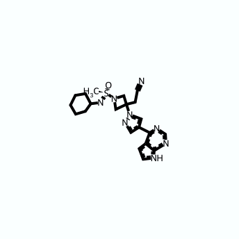 C[S@@](=O)(=NC1CCCCC1)N1CC(CC#N)(n2cc(-c3ncnc4[nH]ccc34)cn2)C1